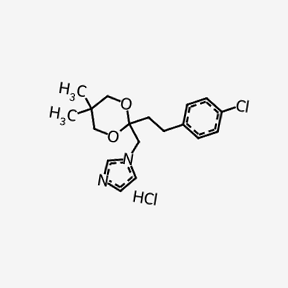 CC1(C)COC(CCc2ccc(Cl)cc2)(Cn2ccnc2)OC1.Cl